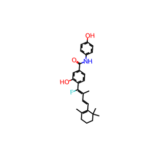 CC1=C(/C=C/C(C)=C(\F)c2ccc(C(=O)Nc3ccc(O)cc3)cc2O)C(C)(C)CCC1